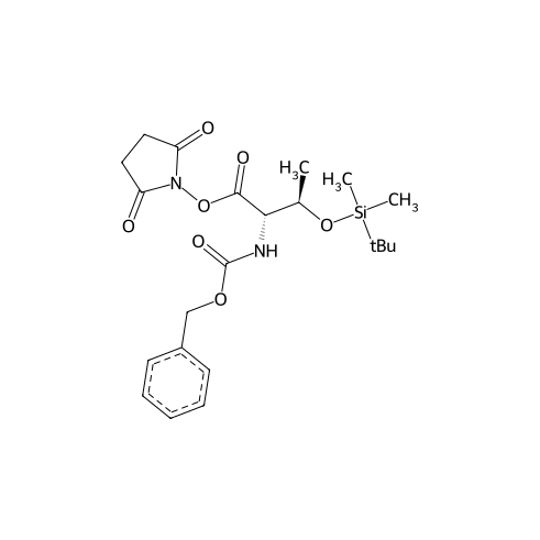 C[C@@H](O[Si](C)(C)C(C)(C)C)[C@H](NC(=O)OCc1ccccc1)C(=O)ON1C(=O)CCC1=O